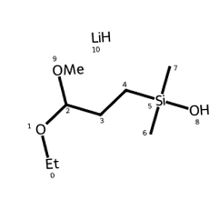 CCOC(CC[Si](C)(C)O)OC.[LiH]